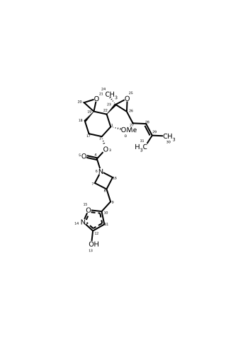 CO[C@@H]1[C@H](OC(=O)N2CC(Cc3cc(O)no3)C2)CC[C@]2(CO2)[C@H]1[C@@]1(C)OC1CC=C(C)C